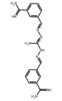 N=C(N)c1cccc(/C=N/N=C(\N)N/N=C/c2cccc(C(=N)N)c2)c1